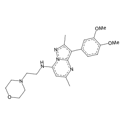 COc1ccc(-c2c(C)nn3c(NCCN4CCOCC4)cc(C)nc23)cc1OC